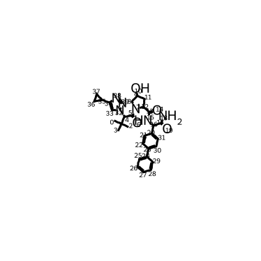 CC(C)(C)C(C(=O)N1CC(O)CC1C(=O)NC(C(N)=O)c1ccc(-c2ccccc2)cc1)n1cc(C2CC2)nn1